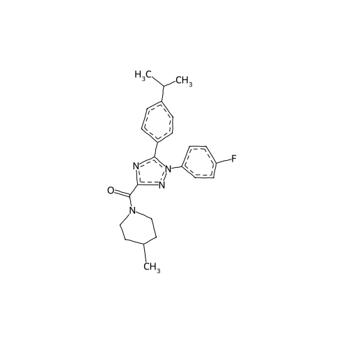 CC1CCN(C(=O)c2nc(-c3ccc(C(C)C)cc3)n(-c3ccc(F)cc3)n2)CC1